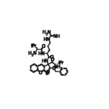 CC(C)[C@H](N)C(=O)N[C@@H](CCCNC(=N)N)C(=O)NC(C(=O)OCc1ccccc1)(C(=O)[C@@H](N)C(C)C)c1cc2ccccc2oc1=O